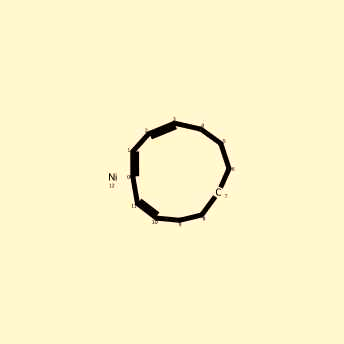 C1=CC=CCCCCCCC=C1.[Ni]